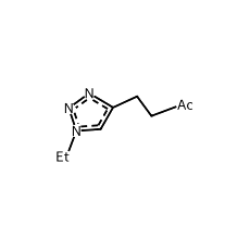 CCn1cc(CCC(C)=O)nn1